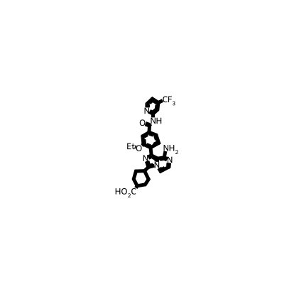 CCOc1cc(C(=O)Nc2cc(C(F)(F)F)ccn2)ccc1-c1nc(C2CCC(C(=O)O)CC2)n2ccnc(N)c12